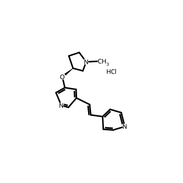 CN1CC[C@H](Oc2cncc(C=Cc3ccncc3)c2)C1.Cl